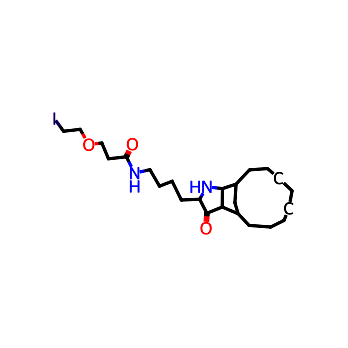 O=C(CCOCCI)NCCCCC1NC2C3CCCCCCCCC(C3)C2C1=O